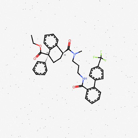 CCOC(=O)[C@]1(c2ccccc2)CC[C@H](C(=O)N(C)CCCNC(=O)c2ccccc2-c2ccc(C(F)(F)F)cc2)c2ccccc21